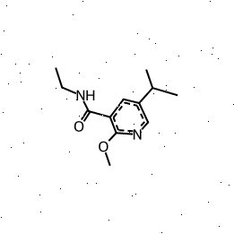 CCNC(=O)c1cc(C(C)C)cnc1OC